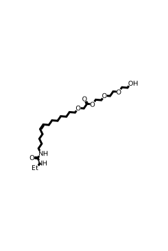 CCNC(=O)NCCCC/C=C\CCCCCCCOCC(=O)OCCOCCOCCO